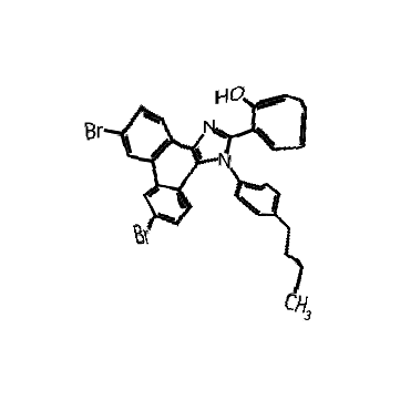 CCCCc1ccc(-n2c(-c3ccccc3O)nc3c4ccc(Br)cc4c4cc(Br)ccc4c32)cc1